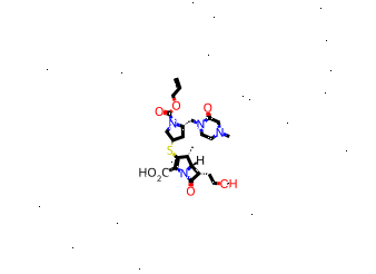 C=CCOC(=O)N1C[C@@H](SC2=C(C(=O)O)N3C(=O)[C@@H](CCO)[C@H]3[C@H]2C)C[C@H]1CN1CCN(C)CC1=O